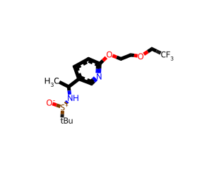 CC(N[S+]([O-])C(C)(C)C)c1ccc(OCCOCC(F)(F)F)nc1